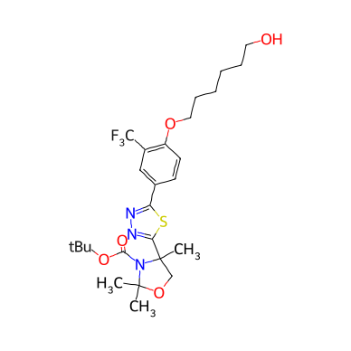 CC(C)(C)OC(=O)N1C(C)(C)OCC1(C)c1nnc(-c2ccc(OCCCCCCO)c(C(F)(F)F)c2)s1